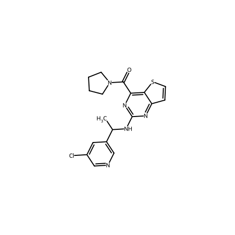 CC(Nc1nc(C(=O)N2CCCC2)c2sccc2n1)c1cncc(Cl)c1